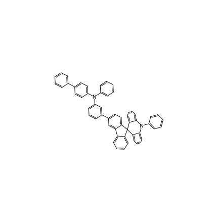 c1ccc(-c2ccc(N(c3ccccc3)c3cccc(-c4ccc5c(c4)-c4ccccc4C54c5ccccc5N(c5ccccc5)c5ccccc54)c3)cc2)cc1